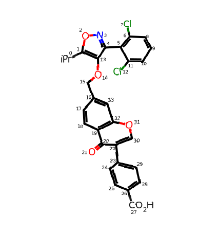 CC(C)c1onc(-c2c(Cl)cccc2Cl)c1OCc1ccc2c(=O)c(-c3ccc(C(=O)O)cc3)coc2c1